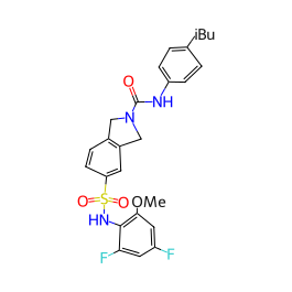 CCC(C)c1ccc(NC(=O)N2Cc3ccc(S(=O)(=O)Nc4c(F)cc(F)cc4OC)cc3C2)cc1